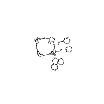 C(=Cc1c(C=Cc2ccccc2)c2c(C=Cc3ccccc3)c3nc(cc4ccc(cc5nc(cc1n2C=Cc1ccccc1)C=C5)[nH]4)C=C3)c1ccccc1